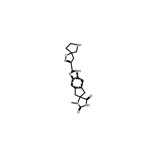 CN1C(=O)NC(=O)C12Cc1cc3nc(C4=NOC5(CCNC5)C4)[nH]c3cc1C2